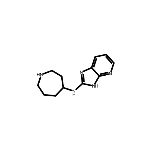 c1cnc2[nH]c(NC3CCCNCC3)nc2c1